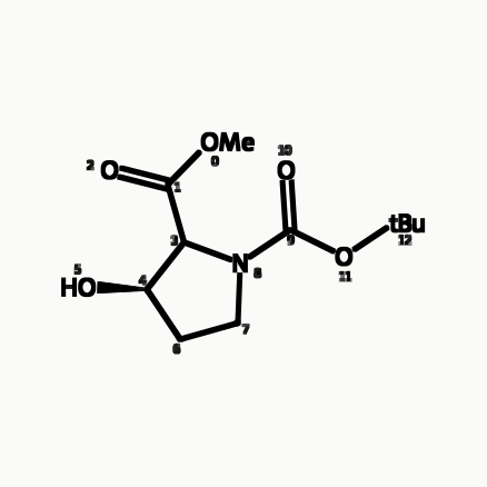 COC(=O)C1[C@H](O)CCN1C(=O)OC(C)(C)C